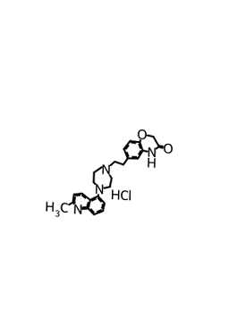 Cc1ccc2c(N3CCCN(CCc4ccc5c(c4)NC(=O)CO5)CC3)cccc2n1.Cl